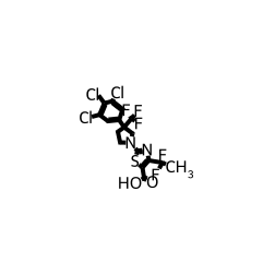 CC(F)(F)c1nc(N2CCC(c3cc(Cl)c(Cl)c(Cl)c3)(C(F)(F)F)C2)sc1C(=O)O